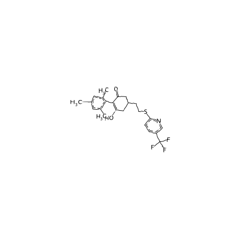 Cc1cc(C)c(C2=C(O)CC(CCSc3ccc(C(F)(F)F)cn3)CC2=O)c(C)c1